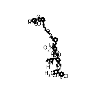 CC1(C)CCC(CN2CCN(c3ccc(C(=O)NS(=O)(=O)c4ccc(NCC5CCCN(CCOCCOCCCC#Cc6cccc7c6C(=O)N(C6CCC(=O)NC6=O)C7=O)C5)c([N+](=O)[O-])c4)c(Oc4cnc5[nH]ccc5c4)c3)CC2)=C(c2ccc(Cl)cc2)C1